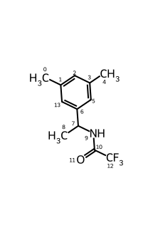 Cc1cc(C)cc(C(C)NC(=O)C(F)(F)F)c1